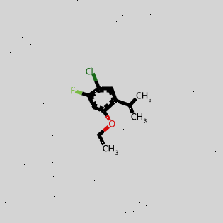 CCOc1cc(F)c(Cl)cc1C(C)C